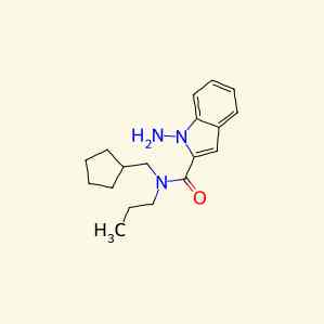 CCCN(CC1CCCC1)C(=O)c1cc2ccccc2n1N